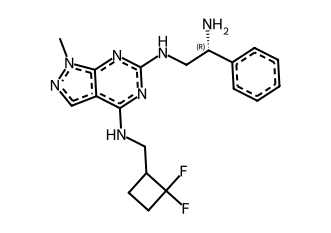 Cn1ncc2c(NCC3CCC3(F)F)nc(NC[C@H](N)c3ccccc3)nc21